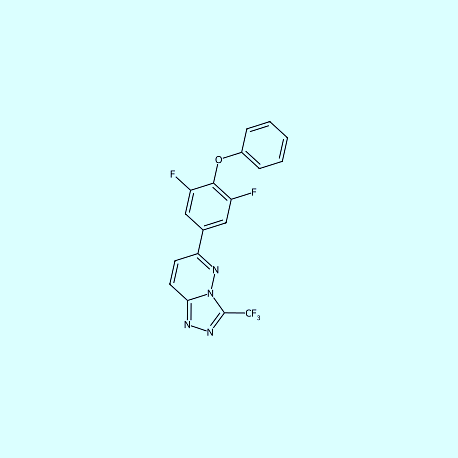 Fc1cc(-c2ccc3nnc(C(F)(F)F)n3n2)cc(F)c1Oc1ccccc1